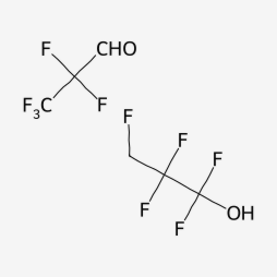 O=CC(F)(F)C(F)(F)F.OC(F)(F)C(F)(F)CF